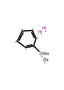 COc1ccccc1.I.I.[Os]